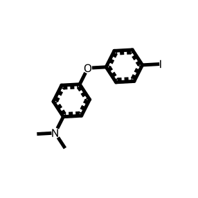 CN(C)c1ccc(Oc2ccc(I)cc2)cc1